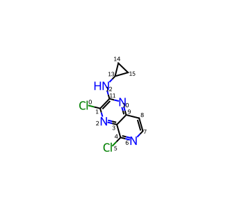 Clc1nc2c(Cl)nccc2nc1NC1CC1